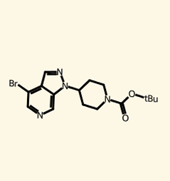 CC(C)(C)OC(=O)N1CCC(n2ncc3c(Br)cncc32)CC1